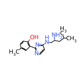 Cc1ccc(O)c(-c2nccc(NC[C@@H](N)CC(C)C)n2)c1